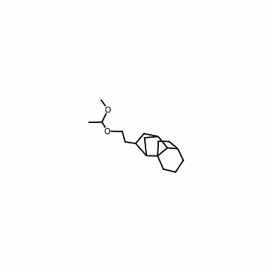 COC(C)OCCC1CC2CC1C13CCCC(CC1)C23